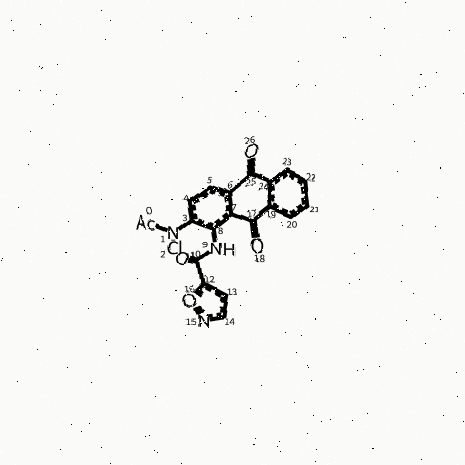 CC(=O)N(Cl)c1ccc2c(c1NC(=O)c1ccno1)C(=O)c1ccccc1C2=O